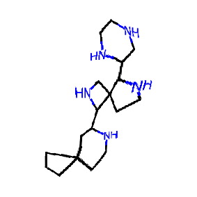 C1CC2(C1)CCNC(C1NCC13CCNC3C1CNCCN1)C2